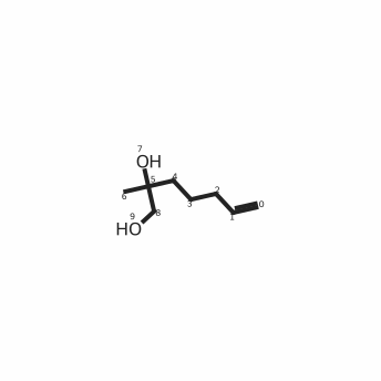 C=CCCCC(C)(O)CO